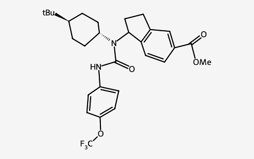 COC(=O)c1ccc2c(c1)CCC2N(C(=O)Nc1ccc(OC(F)(F)F)cc1)[C@H]1CC[C@H](C(C)(C)C)CC1